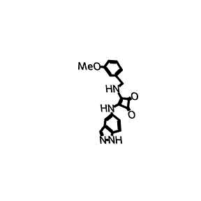 COc1cccc(CNc2c(Nc3ccc4[nH]ncc4c3)c(=O)c2=O)c1